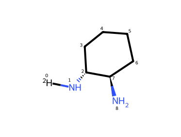 [2H]N[C@@H]1CCCC[C@H]1N